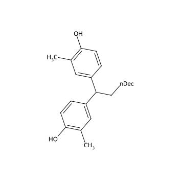 CCCCCCCCCCCC(c1ccc(O)c(C)c1)c1ccc(O)c(C)c1